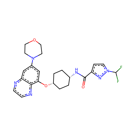 O=C(N[C@H]1CC[C@@H](Oc2cc(N3CCOCC3)cc3nccnc23)CC1)c1ccn(C(F)F)n1